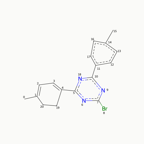 CC1=CC=C(c2nc(Br)nc(-c3ccc(C)cc3)n2)CC1